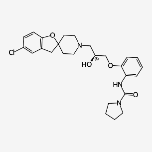 O=C(Nc1ccccc1OC[C@@H](O)CN1CCC2(CC1)Cc1cc(Cl)ccc1O2)N1CCCC1